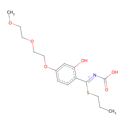 CCCS/C(=N\C(=O)O)c1ccc(OCCOCCOC)cc1O